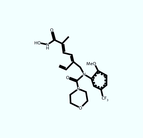 C=C/C(=C\C=C(/C)C(=O)NO)CN(C(=O)N1CCOCC1)c1cc(C(F)(F)F)ccc1OC